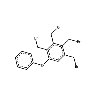 BrCc1cc(Oc2ccccc2)c(CBr)c(CBr)c1CBr